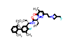 CCOC(=O)C[C@H](NC(=O)[C@H](CC(C)C)n1nc(CCN2CC(CF)C2)cc(C)c1=O)c1cc(-c2c(C)cccc2C)cc(C)c1F